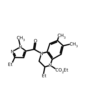 CCOC(=O)N1c2cc(C)c(C)cc2N(C(=O)c2cc(CC)nn2C)CC1CC